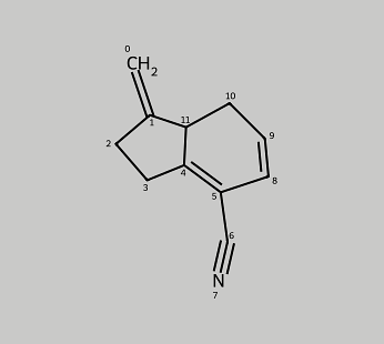 C=C1CCC2=C(C#N)C=CCC12